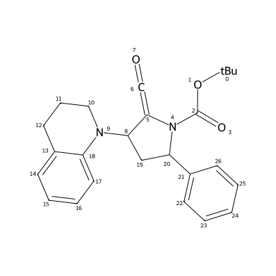 CC(C)(C)OC(=O)N1C(=C=O)C(N2CCCc3ccccc32)CC1c1ccccc1